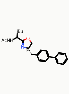 CCC(C)C(NC(C)=O)C1=N[C@@H](Cc2ccc(-c3ccccc3)cc2)CO1